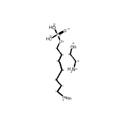 CCCCCCCCCCCCCCCCOP(=O)(O)O.NCCO